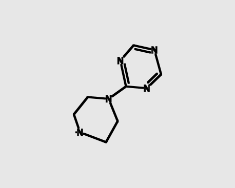 c1ncnc(N2CC[N]CC2)n1